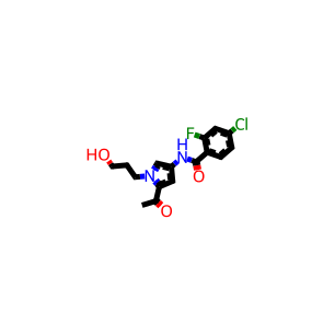 CC(=O)c1cc(NC(=O)c2ccc(Cl)cc2F)cn1CCCO